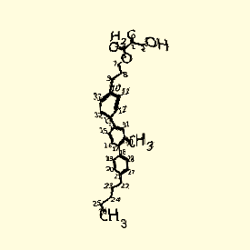 C=C(CO)C(=O)OCCCc1ccc(-c2ccc(-c3ccc(CCCCC)cc3)c(C)c2)cc1